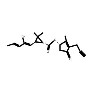 C#CCC1=C(C)[C@@H](OC(=O)[C@@H]2[C@@H](/C=C(C#N)/C=C/C)C2(C)C)CC1=O